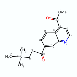 COC(=O)c1ccnc2cc(C(=O)CC[Si](C)(C)C)ccc12